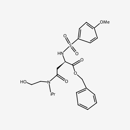 COc1ccc(S(=O)(=O)N[C@H](CC(=O)N(CCO)C(C)C)C(=O)OCc2ccccc2)cc1